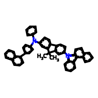 CC1(C)c2cc(N(c3ccccc3)c3ccc(-c4cccc5ccccc45)cc3)ccc2-c2ccc(-n3c4ccccc4c4c5ccccc5ccc43)cc21